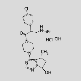 CC(C)NCC(C(=O)N1CCN(c2ncnc3c2[C@H](C)C[C@H]3O)CC1)c1ccc(Cl)cc1.Cl.Cl